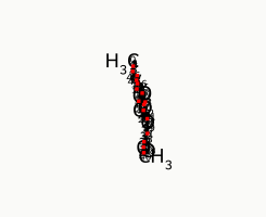 CCCCCC1CCC(C2CCC(C(=O)Oc3ccc(OC(=O)c4ccc(OCCCCCCCCOC(=O)CC)cc4)cc3)CC2)CC1